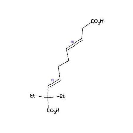 CCC(/C=C/CC/C=C/CC(=O)O)(CC)C(=O)O